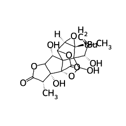 C=C(C)[C@H](O)C12C(O)O[C@@]34C(=O)OC([C@H]5O[C@@]51C(C)(C)C)C23[C@@H](O)C1OC(=O)[C@@H](C)[C@@]14O